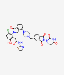 O=C1CCN(N2C(=O)c3ccc(CN4CCN(c5cccc6c5CN(c5c(F)ccc(O)c5CC(=O)Nc5nccs5)C6=O)CC4)cc3C2=O)C(=O)N1